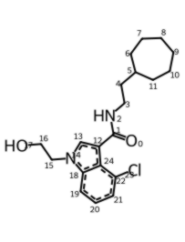 O=C(NCCC1CCCCCC1)c1cn(CCO)c2cccc(Cl)c12